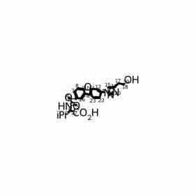 CC(C)C(NS(=O)(=O)c1ccc2oc3cc(-n4cc(CCO)nn4)ccc3c2c1)C(=O)O